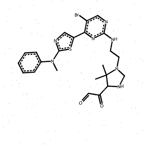 CN(c1ccccc1)c1ncc(-c2nc(NCCN3CNC(C(=O)C=O)C3(C)C)ncc2Br)s1